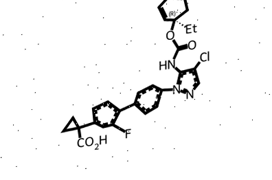 CC[C@]1(OC(=O)Nc2c(Cl)cnn2-c2ccc(-c3ccc(C4(C(=O)O)CC4)cc3F)cc2)C=CC=CC1